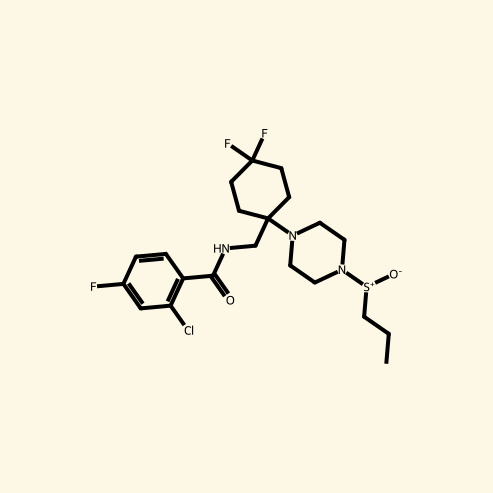 CCC[S+]([O-])N1CCN(C2(CNC(=O)c3ccc(F)cc3Cl)CCC(F)(F)CC2)CC1